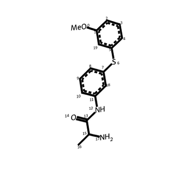 COc1cccc(Sc2cccc(NC(=O)C(C)N)c2)c1